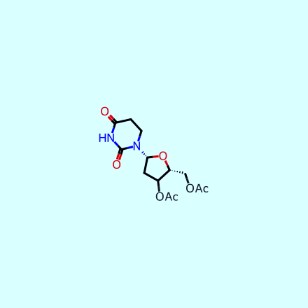 CC(=O)OC[C@H]1O[C@@H](N2CCC(=O)NC2=O)CC1OC(C)=O